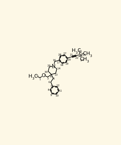 CCOCC1(CCc2ccccc2)CCN(Cc2ccc(C#C[Si](C)(C)C)cc2)CC1